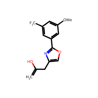 C=C(O)Cc1coc(-c2cc(OC)cc(C(F)(F)F)c2)n1